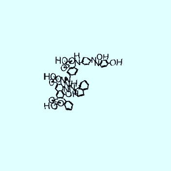 NC1(N=Nc2cccc3ccccc23)c2c(cc(S(=O)(=O)O)c(-c3ccccc3)c2O)C=C(S(=O)(=O)O)C1N=Nc1ccc(Nc2ccc(N=Nc3ccc(O)cc3O)cc2)c(S(=O)(=O)O)c1